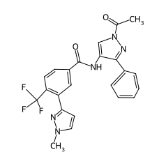 CC(=O)n1cc(NC(=O)c2ccc(C(F)(F)F)c(-c3ccn(C)n3)c2)c(-c2ccccc2)n1